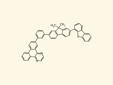 CC1(C)c2cc(-c3cccc(-c4ccc5c6ccccc6c6nccnc6c5c4)c3)ccc2-c2ccc(-c3cccc4c3sc3ccccc34)cc21